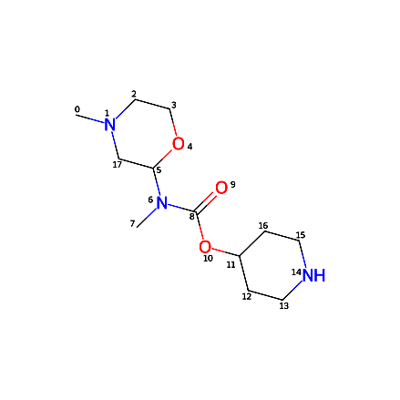 CN1CCOC(N(C)C(=O)OC2CCNCC2)C1